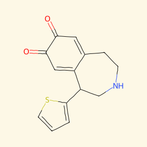 O=C1C=C2CCNCC(c3cccs3)C2=CC1=O